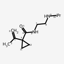 C=C(C)C1(C(=O)NCCNC(C)C)CC1